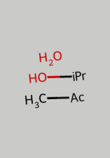 CC(C)=O.CC(C)O.O